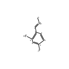 C/N=C/c1ccc(F)cc1F